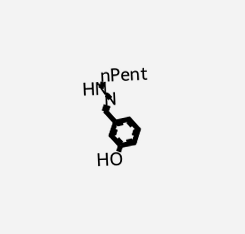 CCCCCNN=Cc1cccc(O)c1